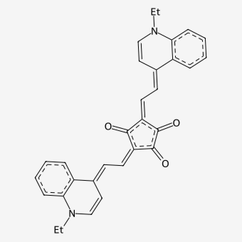 CCN1C=CC(=CC=c2c(=O)c(=O)c(=CC=C3C=CN(CC)c4ccccc43)c2=O)c2ccccc21